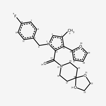 Cc1cn(Cc2ccc(F)cc2)c(C(=O)N2CCC3(CC2)OCCO3)c1-c1ccco1